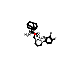 NC(=O)C12CC3CC(C1)C(NC(=O)CN1CCCN(c4ccc(F)c(F)c4)S1(O)O)C(C3)C2